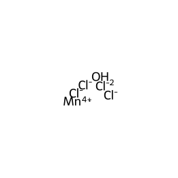 O.[Cl-].[Cl-].[Cl-].[Cl-].[Mn+4]